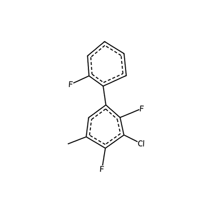 Cc1cc(-c2ccccc2F)c(F)c(Cl)c1F